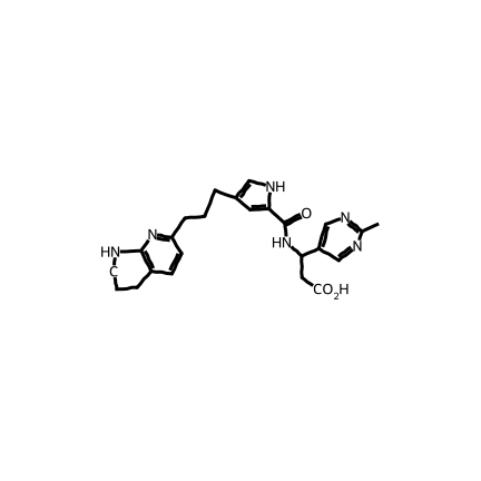 Cc1ncc(C(CC(=O)O)NC(=O)c2cc(CCCc3ccc4c(n3)NCCC4)c[nH]2)cn1